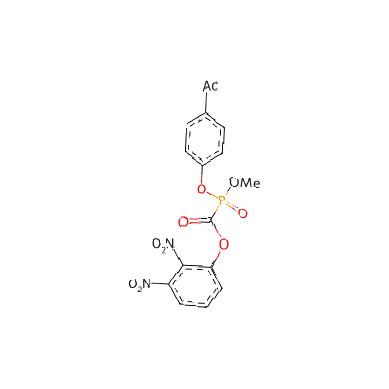 COP(=O)(Oc1ccc(C(C)=O)cc1)C(=O)Oc1cccc([N+](=O)[O-])c1[N+](=O)[O-]